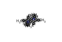 [2H]c1c([2H])c([2H])c(N(c2cc(-c3ccc(C)cc3)cc(-c3ccc(C)cc3)c2)c2ccc3ccc4c(N(c5cc(-c6ccc(C)cc6)cc(-c6ccc(C)cc6)c5)c5c([2H])c([2H])c([2H])c([2H])c5[2H])ccc5ccc2c3c54)c([2H])c1[2H]